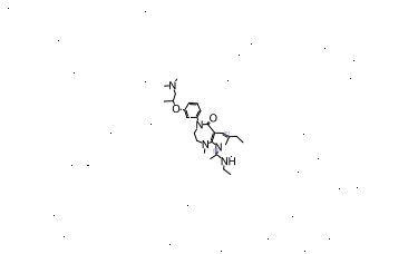 CCN/C(C)=N/C1=C(/C=C(\C)CC)C(=O)N(c2cccc(OC(C)CN(C)C)c2)CCN1C